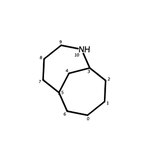 C1CCC2C[C](C1)CCCN2